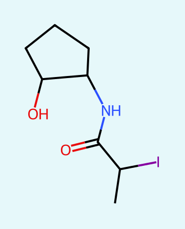 CC(I)C(=O)NC1CCCC1O